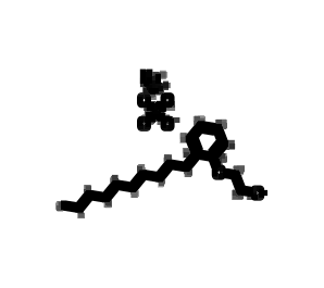 CCCCCCCCCCc1ccccc1OCC[O].O=S(=O)([O-])[O-].[Na+].[Na+]